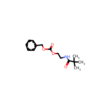 CC(C)(C)C(=O)NCCOC(=O)OCc1ccccc1